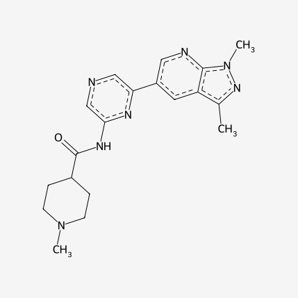 Cc1nn(C)c2ncc(-c3cncc(NC(=O)C4CCN(C)CC4)n3)cc12